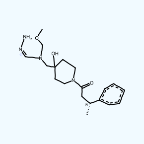 COCN(/C=N\N)CC1(O)CCN(C(=O)C[C@@H](C)c2ccccc2)CC1